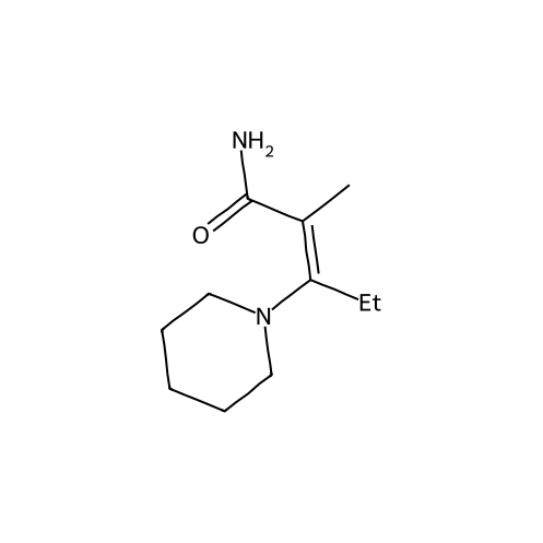 CCC(=C(C)C(N)=O)N1CCCCC1